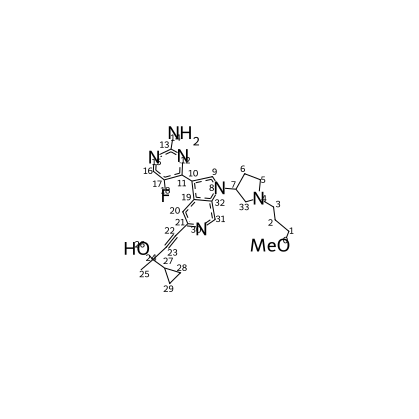 COCCCN1CCC(n2cc(-c3nc(N)ncc3F)c3cc(C#CC(C)(O)C4CC4)ncc32)C1